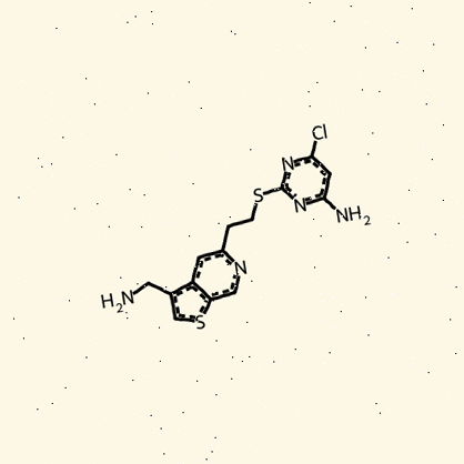 NCc1csc2cnc(CCSc3nc(N)cc(Cl)n3)cc12